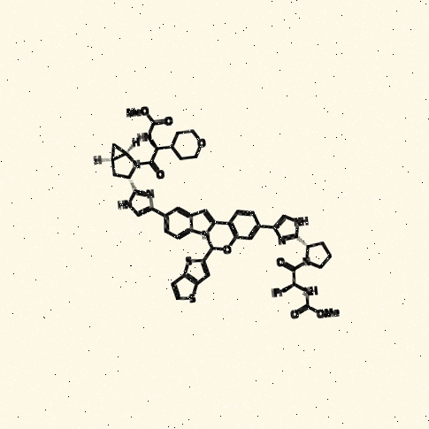 COC(=O)N[C@H](C(=O)N1CCC[C@H]1c1nc(-c2ccc3c(c2)OC(c2cc4sccc4s2)n2c-3cc3cc(-c4c[nH]c([C@@H]5C[C@H]6C[C@H]6N5C(=O)[C@@H](NC(=O)OC)C5CCOCC5)n4)ccc32)c[nH]1)C(C)C